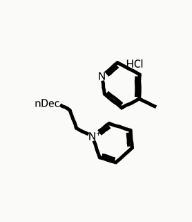 CCCCCCCCCCCC[n+]1ccccc1.Cc1ccncc1.Cl